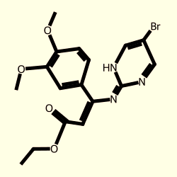 CCOC(=O)C=C(N=c1ncc(Br)c[nH]1)c1ccc(OC)c(OC)c1